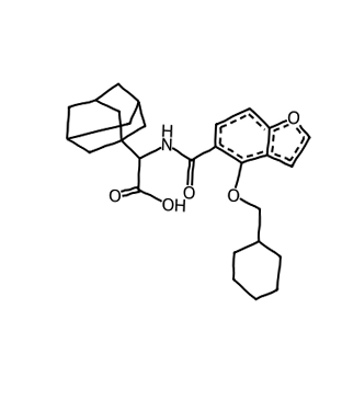 O=C(NC(C(=O)O)C12CC3CC(CC(C3)C1)C2)c1ccc2occc2c1OCC1CCCCC1